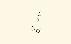 COc1ccc(CC(=O)CNCCCN2C(=O)NC(C)=C(C(=O)O)C2c2cccc([N+](=O)[O-])c2)cc1